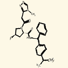 CC(C)c1ccc([C@@H](NC(=O)[C@@H]2C[C@@H](F)CN2C(=O)Cc2nncn2C)c2ccccc2)cc1